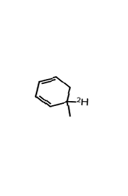 [2H]C1(C)C=CC=CC1